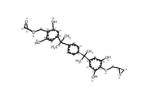 CC(C)(c1ccc(C(C)(C)c2cc(O)c(OCC3CO3)c(O)c2)cc1)c1cc(O)c(COC2CO2)c(O)c1